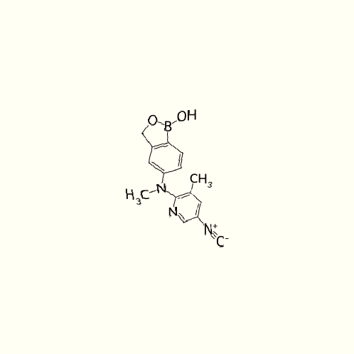 [C-]#[N+]c1cnc(N(C)c2ccc3c(c2)COB3O)c(C)c1